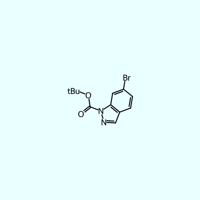 CC(C)(C)OC(=O)n1ncc2ccc(Br)cc21